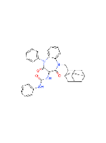 O=C(Nc1ccccc1)NC1C(=O)N(CC2C3CC4CC(C3)CC2C4)c2ccccc2N(c2ccccc2)C1=O